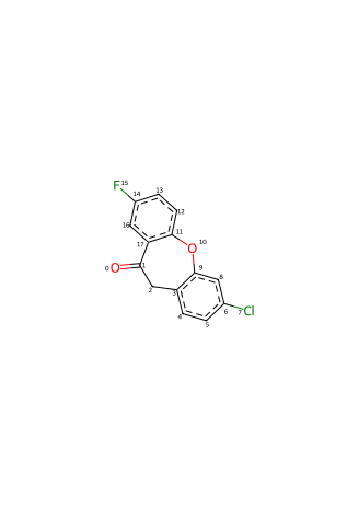 O=C1Cc2ccc(Cl)cc2Oc2ccc(F)cc21